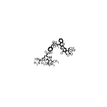 CC[C@@]1(O)C(=O)OCc2c1cc1n(c2=O)Cc2c-1nc1ccccc1c2CC[N+](C)(C)Cc1ccc(NC(=O)[C@H](CCCNC(=N)N)NC(=O)[C@@H](NC(C)C)C(C)C)cc1